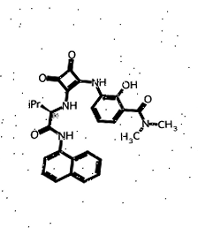 CC(C)[C@@H](Nc1c(Nc2cccc(C(=O)N(C)C)c2O)c(=O)c1=O)C(=O)Nc1cccc2ccccc12